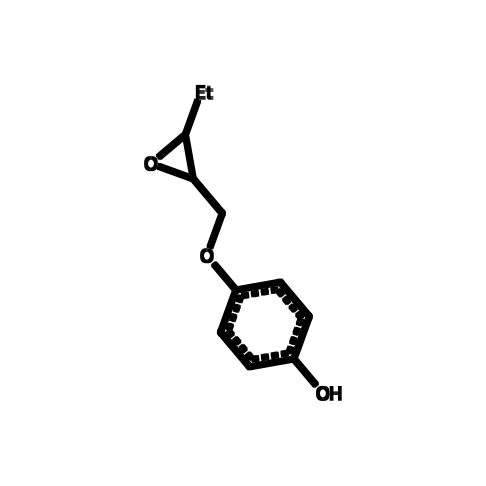 CCC1OC1COc1ccc(O)cc1